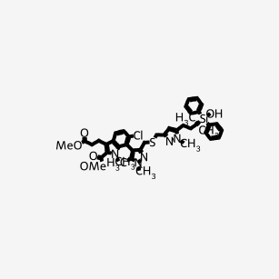 COC(=O)CCc1c(C(=O)OC)n(C)c2c(-c3c(CSCc4cc(CCC(C)(C)[Si](O)(c5ccccc5)c5ccccc5)n(C)n4)nn(C)c3C)c(Cl)ccc12